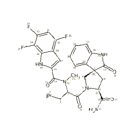 CC(C)CC(C(=O)N1C[C@]2(C[C@H]1C(N)=O)C(=O)Nc1ccccc12)N(C)C(=O)c1cc2c(F)cc(F)c(F)c2[nH]1